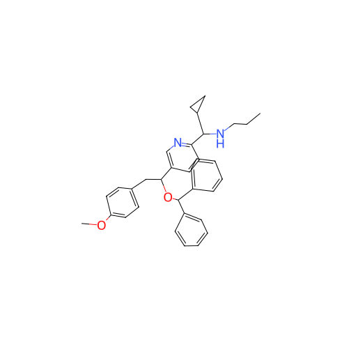 CCCNC(c1ccc(C(Cc2ccc(OC)cc2)OC(c2ccccc2)c2ccccc2)cn1)C1CC1